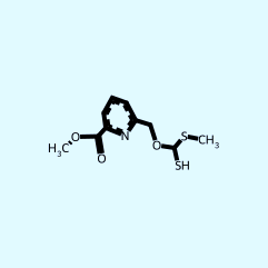 COC(=O)c1cccc(COC(S)SC)n1